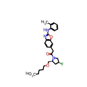 Cc1ccccc1Nc1nc2ccc(CC(=O)N3C[C@@H](F)C[C@H]3COCCCCC(=O)O)cc2o1